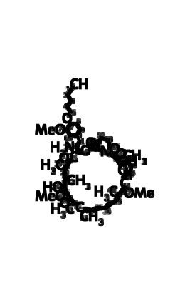 C#CCCCCO[C@@H]1CC[C@@H](C[C@@H](N)[C@@H]2CC(=O)[C@H](C)/C=C(\C)[C@@H](O)[C@@H](OC)C(=O)[C@H](C)C[C@H](C)/C=C/C=C/C=C(\C)[C@@H](OC)C[C@@H]3CC[C@@H](C)[C@@](O)(O3)C(=O)C(=O)N3CCCC[C@H]3C(=O)O2)C[C@H]1OC